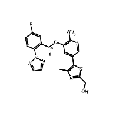 Cc1nc(CO)sc1-c1cnc(N)c(O[C@H](C)c2cc(F)ccc2-n2nccn2)c1